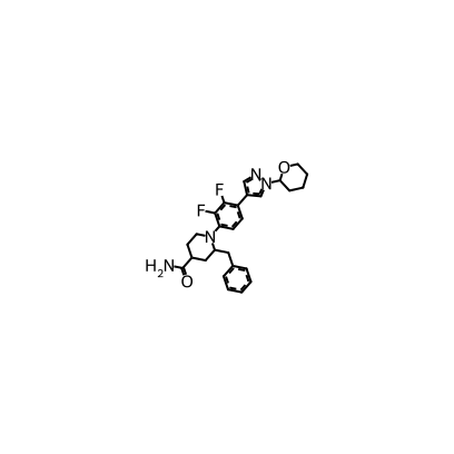 NC(=O)C1CCN(c2ccc(-c3cnn(C4CCCCO4)c3)c(F)c2F)C(Cc2ccccc2)C1